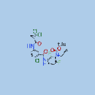 C#CCN(C(=O)OC(C)(C)C)c1c(F)ccc(NC(=O)c2cc(NC(=O)[C@H]3CC3(Cl)Cl)ccc2Cl)c1F